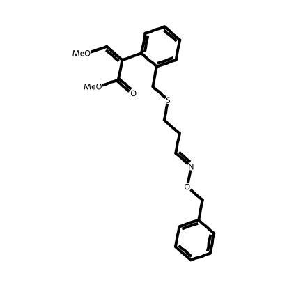 COC=C(C(=O)OC)c1ccccc1CSCCC=NOCc1ccccc1